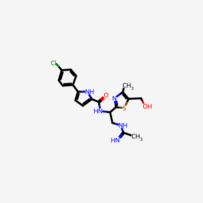 CC(=N)NCC(NC(=O)c1ccc(-c2ccc(Cl)cc2)[nH]1)c1nc(C)c(CO)s1